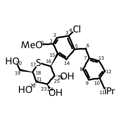 COc1cc(Cl)c(Cc2ccc(C(C)C)cc2)cc1[C@@H]1S[C@H](CO)[C@@H](O)[C@H](O)[C@H]1O